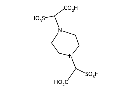 O=C(O)C(N1CCN(C(C(=O)O)S(=O)(=O)O)CC1)S(=O)(=O)O